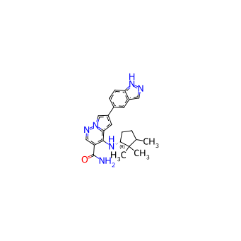 CC1CC[C@@H](Nc2c(C(N)=O)cnn3cc(-c4ccc5[nH]ncc5c4)cc23)C1(C)C